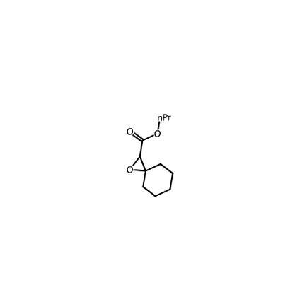 CCCOC(=O)C1OC12CCCCC2